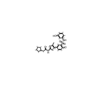 Cc1nc(NC(=O)CC2CCCC2)sc1-c1ccc(Cl)c(S(=O)(=O)Nc2cccc(O)c2)c1